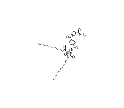 CCCCCCCCCCCCNC(=O)[C@@H]1CN(C(=O)c2ccc(C(=O)N3CC[C@H](C(N)=O)C3)cc2)C[C@H]1C(=O)NCCCCCCCCCCCC